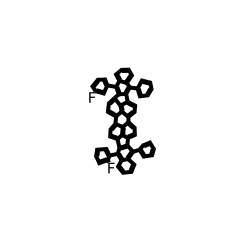 Fc1cccc(-c2c3c(c(-c4ccccc4)c4ccccc24)-c2ccc4c5ccc6c7c(ccc(c8ccc-3c2c48)c75)-c2c-6c(-c3ccccc3)c3ccccc3c2-c2ccccc2F)c1